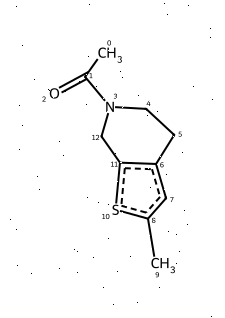 CC(=O)N1CCc2cc(C)sc2C1